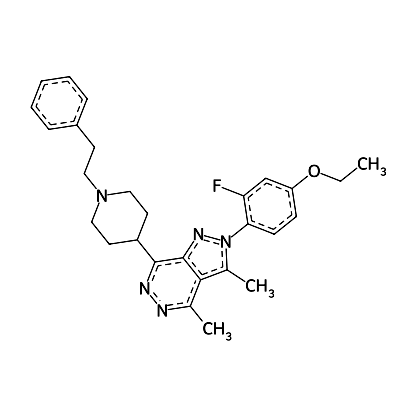 CCOc1ccc(-n2nc3c(C4CCN(CCc5ccccc5)CC4)nnc(C)c3c2C)c(F)c1